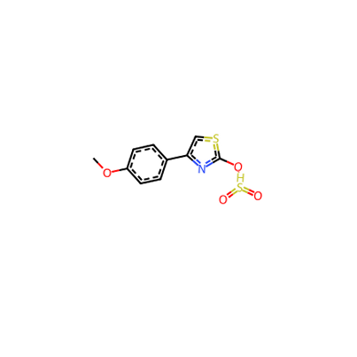 COc1ccc(-c2csc(O[SH](=O)=O)n2)cc1